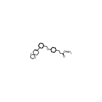 NOC(=O)CCc1ccc(OCc2cccc(C3=CCC4(CC3)OCCO4)c2)cc1